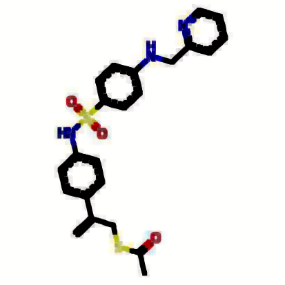 C=C(CSC(C)=O)c1ccc(NS(=O)(=O)c2ccc(NCc3ccccn3)cc2)cc1